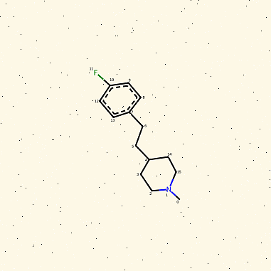 CN1CCC(CCc2ccc(F)cc2)CC1